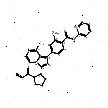 C=CC(=O)C1CCC[C@H]1c1nc(-c2ccc(C(=O)Nc3ccccn3)c(OC)c2)c2c(N)nccn12